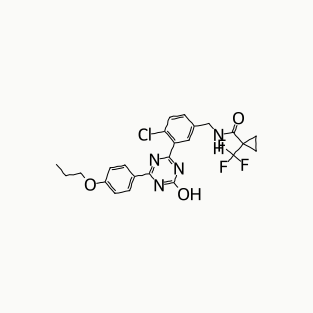 CCCOc1ccc(-c2nc(O)nc(-c3cc(CNC(=O)C4(C(F)(F)F)CC4)ccc3Cl)n2)cc1